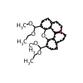 CCOC(OC)c1ccc2ccccc2c1Oc1c(C(OC)OCC)ccc2ccccc12